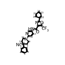 N#CC1(c2ccccc2)CCN(c2ccc(NC(=O)c3nc(-c4ccccc4)oc3C(F)(F)F)cn2)CC1